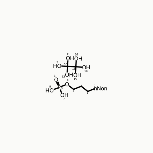 CCCCCCCCCCCCOP(=O)(O)O.OC(O)(O)C(O)(O)O